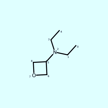 CCN(CC)[C]1COC1